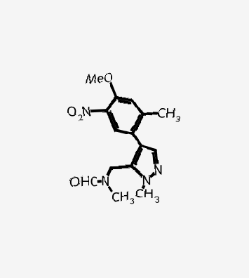 COc1cc(C)c(-c2cnn(C)c2CN(C)C=O)cc1[N+](=O)[O-]